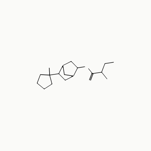 CCC(C)C(=O)OC1CC2CC1CC2C1(O)CCCC1